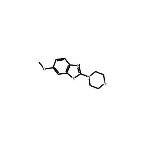 COc1ccc2nc(N3CC[N]CC3)sc2c1